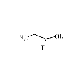 C[CH]CC.[Ti]